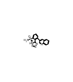 NS(=O)(=O)c1cccc(-c2cnc3ccccc3c2)c1-c1nnn[nH]1